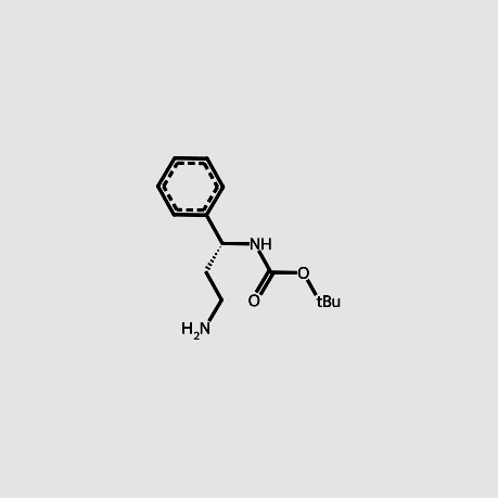 CC(C)(C)OC(=O)N[C@H](CCN)c1ccccc1